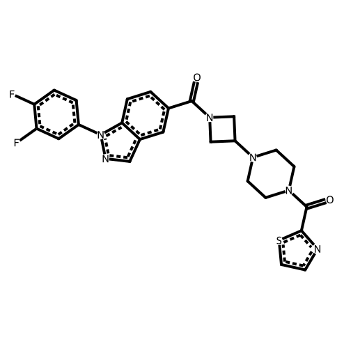 O=C(c1ccc2c(cnn2-c2ccc(F)c(F)c2)c1)N1CC(N2CCN(C(=O)c3nccs3)CC2)C1